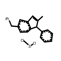 CC1=Cc2cc(CC(C)C)ccc2C1c1cc[c]cc1.[Cl][Zr][Cl]